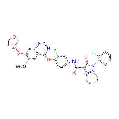 COc1cc2c(Oc3ccc(NC(=O)c4c5n(n(-c6ccccc6F)c4=O)CCCC5)cc3F)ncnc2cc1O[C@H]1CCOC1